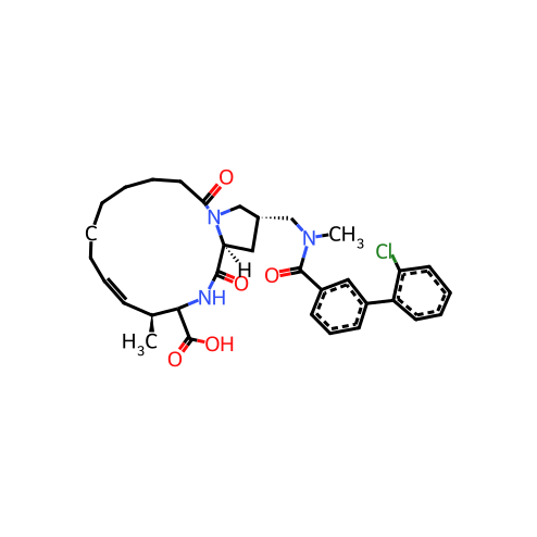 C[C@H]1/C=C\CCCCCCC(=O)N2C[C@H](CN(C)C(=O)c3cccc(-c4ccccc4Cl)c3)C[C@H]2C(=O)NC1C(=O)O